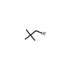 CC(C)(C)[CH2][Hf]